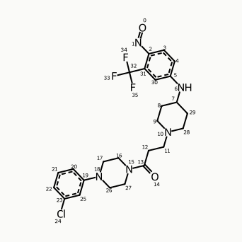 O=Nc1ccc(NC2CCN(CCC(=O)N3CCN(c4cccc(Cl)c4)CC3)CC2)cc1C(F)(F)F